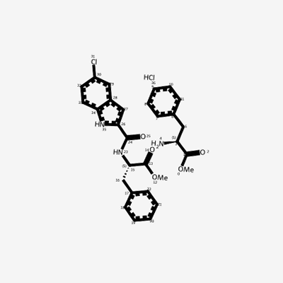 COC(=O)[C@@H](N)Cc1ccccc1.COC(=O)[C@H](Cc1ccccc1)NC(=O)c1cc2cc(Cl)ccc2[nH]1.Cl